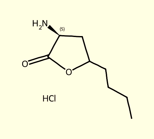 CCCCC1C[C@H](N)C(=O)O1.Cl